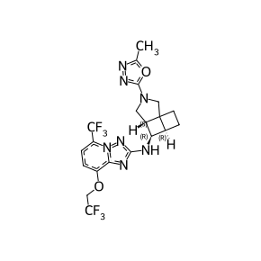 Cc1nnc(N2C[C@H]3[C@H](Nc4nc5c(OCC(F)(F)F)ccc(C(F)(F)F)n5n4)[C@@H]4CCC43C2)o1